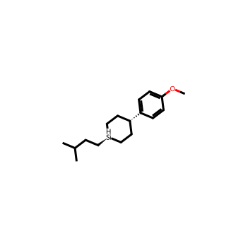 COc1ccc([C@H]2CC[Si@H](CCC(C)C)CC2)cc1